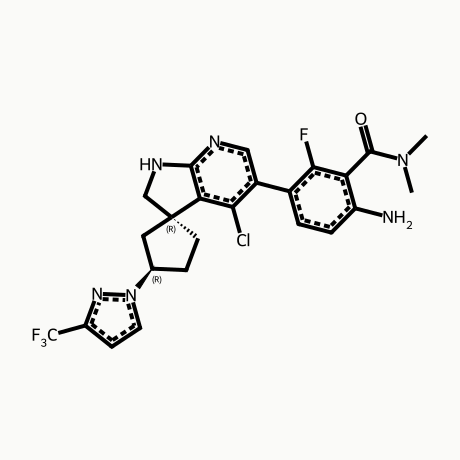 CN(C)C(=O)c1c(N)ccc(-c2cnc3c(c2Cl)[C@]2(CC[C@@H](n4ccc(C(F)(F)F)n4)C2)CN3)c1F